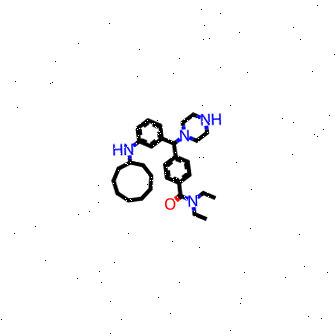 CCN(CC)C(=O)c1ccc(C(c2cccc(NC3CCCCCCCC3)c2)N2CCNCC2)cc1